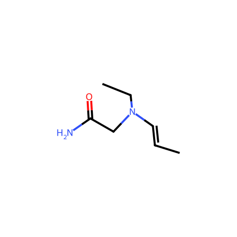 CC=CN(CC)CC(N)=O